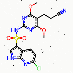 COc1nc(NS(=O)(=O)c2c[nH]c3nc(Cl)ccc23)nc(OC)c1CCC#N